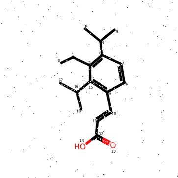 CCc1c(C(C)C)ccc(C=CC(=O)O)c1C(C)C